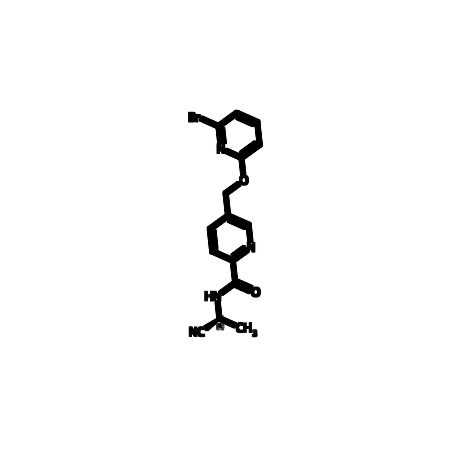 C[C@@H](C#N)NC(=O)c1ccc(COc2cccc(Br)n2)cn1